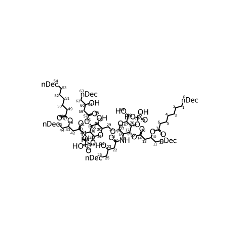 CCCCCCCCCCCCCCCCC(=O)OC(CCCCCCCCCCC)CC(=O)O[C@@H]1C(NC(=O)CC(O)CCCCCCCCCCC)[C@H](OCC2OC(OP(=O)(O)O)C(NC(=O)CC(CCCCCCCCCCC)OC(=O)CCCCCCCCCCCCCCC)[C@@H](OC(=O)CC(O)CCCCCCCCCCC)[C@@H]2O)OC(CO)[C@H]1OP(=O)(O)O